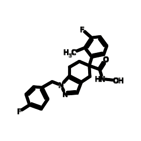 Cc1c(F)cccc1C1(C(=O)NO)CCc2c(cnn2Cc2ccc(F)cc2)C1